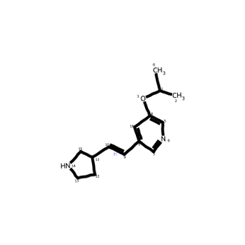 CC(C)Oc1cncc(/C=C/C2CCNC2)c1